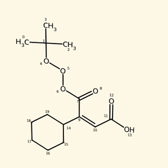 CC(C)(C)OOOC(=O)C(=CC(=O)O)C1CCCCC1